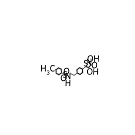 Cc1ccc(S(=O)(=O)NCCc2ccc(-c3sn(O)c(=O)c3O)cc2)cc1